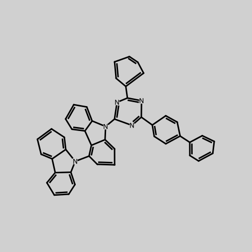 c1ccc(-c2ccc(-c3nc(-c4ccccc4)nc(-n4c5ccccc5c5c(-n6c7ccccc7c7ccccc76)cccc54)n3)cc2)cc1